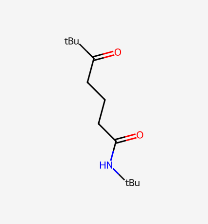 CC(C)(C)NC(=O)CCCC(=O)C(C)(C)C